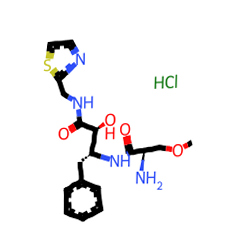 COC[C@@H](N)C(=O)N[C@H](Cc1ccccc1)[C@H](O)C(=O)NCc1nccs1.Cl